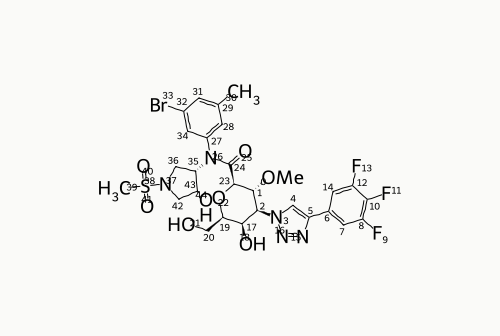 CO[C@@H]1[C@@H](n2cc(-c3cc(F)c(F)c(F)c3)nn2)[C@@H](O)[C@@H](CO)O[C@H]1C(=O)N(c1cc(C)cc(Br)c1)[C@H]1CN(S(C)(=O)=O)C[C@@H]1O